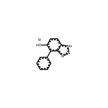 Oc1ccc2[nH]nnc2c1-c1ccccc1.[Si]